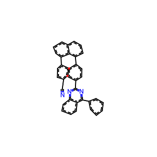 N#Cc1ccc(-c2cccc3cccc(-c4ccc(-c5nc(-c6ccccc6)c6ccccc6n5)cc4)c23)cc1